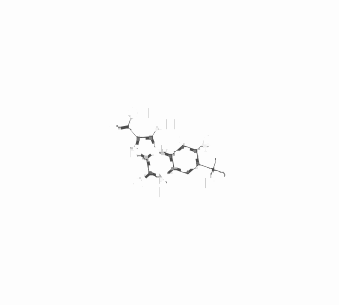 Cc1c(C(=O)O)nc2c(=O)[nH]c3cc(C(F)(F)F)c(Cl)cc3n12